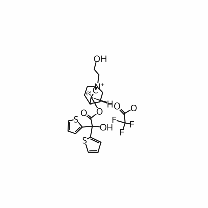 O=C(O[C@H]1C[N+]2(CCO)CCC1CC2)C(O)(c1cccs1)c1cccs1.O=C([O-])C(F)(F)F